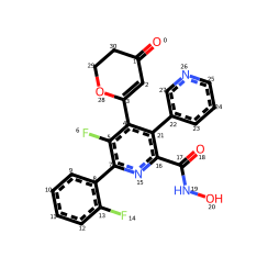 O=C1C=C(c2c(F)c(-c3ccccc3F)nc(C(=O)NO)c2-c2cccnc2)OCC1